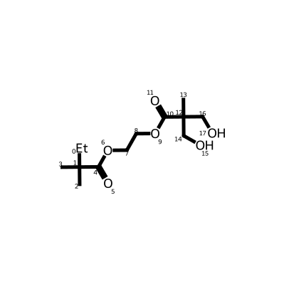 CCC(C)(C)C(=O)OCCOC(=O)C(C)(CO)CO